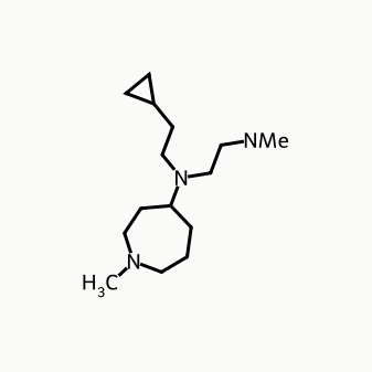 CNCCN(CCC1CC1)C1CCCN(C)CC1